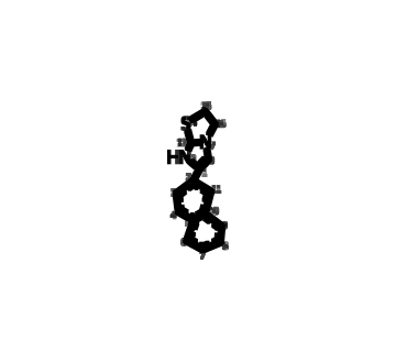 C1=C(c2ccc3ccccc3c2)NC2SCCN12